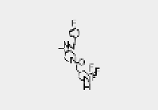 Cc1nn(Cc2ccc(F)cc2)c2c1CCN(C(=O)CC1CCNC(C(F)(F)F)C1)C2